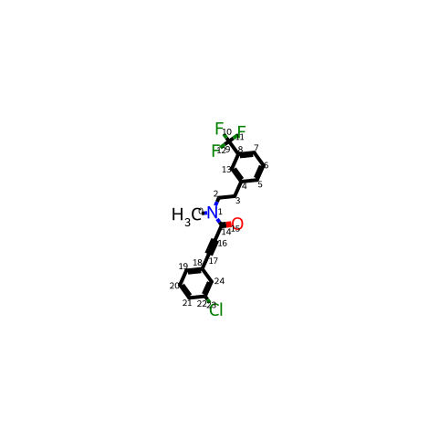 CN(CCc1cccc(C(F)(F)F)c1)C(=O)C#Cc1cccc(Cl)c1